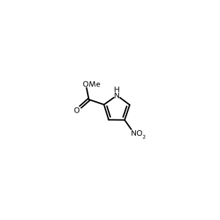 COC(=O)c1cc([N+](=O)[O-])c[nH]1